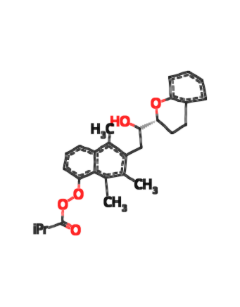 Cc1c(CC(O)[C@H]2CCc3ccccc3O2)c(C)c2cccc(OOC(=O)C(C)C)c2c1C